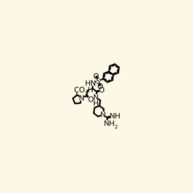 N=C(N)N1CCCC(CNC(=O)[C@@H](CC(=O)N2CCC[C@H]2C(=O)O)NS(=O)(=O)c2ccc3ccccc3c2)C1